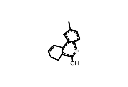 Cc1ccc2pc(O)c3c(c2c1)C=CCC3